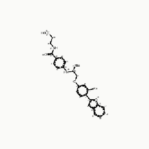 CC(C)(C)[C@@H](COc1ccc(-c2cc3ccccc3o2)c(F)c1)Nc1ccc(C(=O)NCCC(=O)O)cc1